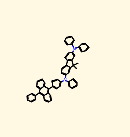 CC1(C)c2cc(N(c3ccccc3)c3ccccc3)ccc2-c2ccc(N(c3ccccc3)c3ccc(-c4c5ccccc5c(-c5ccccc5)c5ccccc45)cc3)cc21